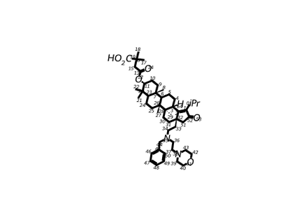 CC(C)C1=C2[C@H]3CCC4[C@@]5(C)CC[C@H](OC(=O)CC(C)(C)C(=O)O)C(C)(C)C5CC[C@@]4(C)[C@]3(C)CC[C@@]2(CCN(CCN2CCOCC2)Cc2ccccc2)CC1=O